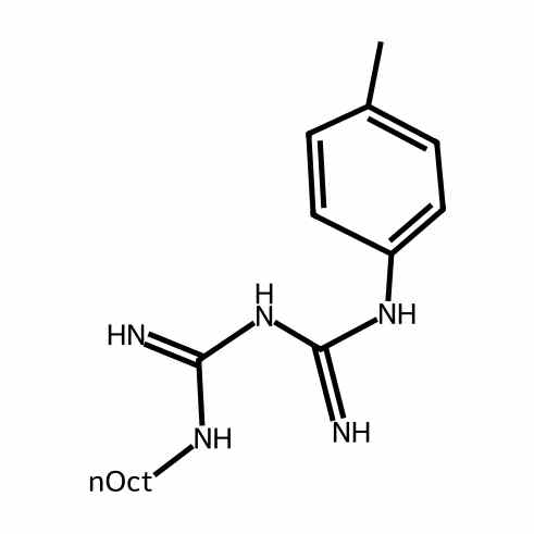 CCCCCCCCNC(=N)NC(=N)Nc1ccc(C)cc1